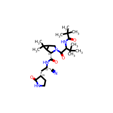 CC(C)(C)C(=O)NC(C(=O)N1CC2C([C@H]1C(=O)N[C@H](C#N)C[C@@H]1CCNC1=O)C2(C)C)C(C)(C)C